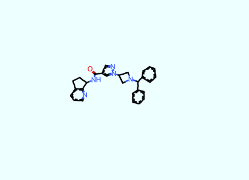 O=C(NC1CCc2cccnc21)c1cnn(C2CN(C(c3ccccc3)c3ccccc3)C2)c1